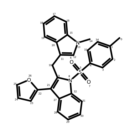 Cc1ccc(S(=O)(=O)n2c(Cc3cn(C)c4ccccc34)c(-c3ccco3)c3ccccc32)cc1